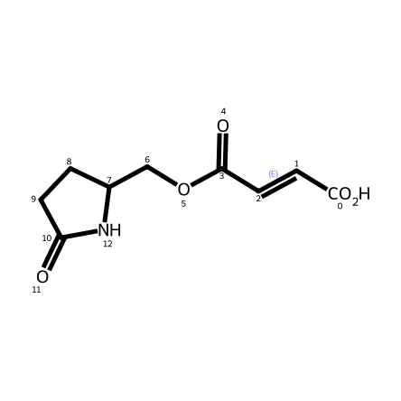 O=C(O)/C=C/C(=O)OCC1CCC(=O)N1